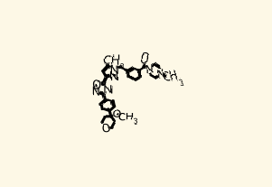 COC1(c2ccc(-c3noc(-c4cc(C)n(Cc5cccc(C(=O)N6CCN(C)CC6)c5)n4)n3)cc2)CCOCC1